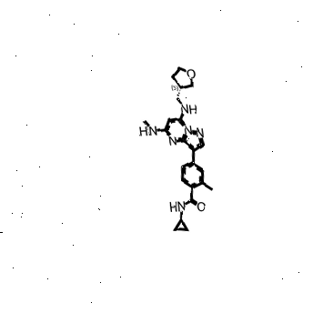 CNc1cc(NC[C@@H]2CCOC2)n2ncc(-c3ccc(C(=O)NC4CC4)c(C)c3)c2n1